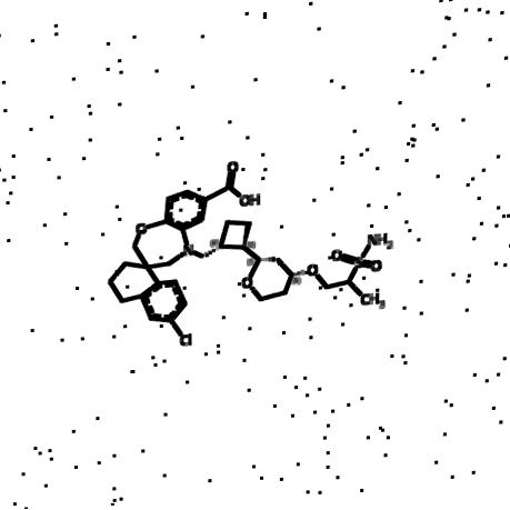 CC(CO[C@@H]1CCO[C@H]([C@@H]2CC[C@H]2CN2CC3(CCCc4cc(Cl)ccc43)COc3ccc(C(=O)O)cc32)C1)S(N)(=O)=O